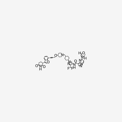 O=C1CC[C@@H](c2coc3c(C#CCOC4CCN(CC5CCC(n6cc(NC(=O)c7cnn8ccc(N9C[C@H]%10C[C@@H]9CO%10)nc78)c(C(F)F)n6)CC5)CC4)cccc23)C(=O)N1